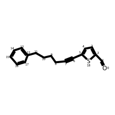 O=Cc1ccc(C#CCCCCc2ccccc2)s1